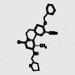 COc1cc2c(cc1OCc1ccccc1)CCn1c-2c(C)c(NCC2CCCO2)cc1=O